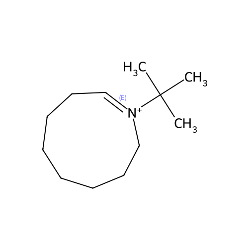 CC(C)(C)/[N+]1=C/CCCCCCC1